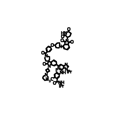 Cc1cc(F)c(Nc2nc(-c3ccc4c(c3)N([C@H]3C[C@@H](N5CCCCC5)C3)C(=O)C43CCN(C(=O)c4ccc(OC5CCN(c6cccc7c6C(=O)N(C6CCC(=O)NC6=O)C7=O)CC5)cc4)CC3)cc3ncn(C(C)C)c23)cc1C(=O)NC(C)C